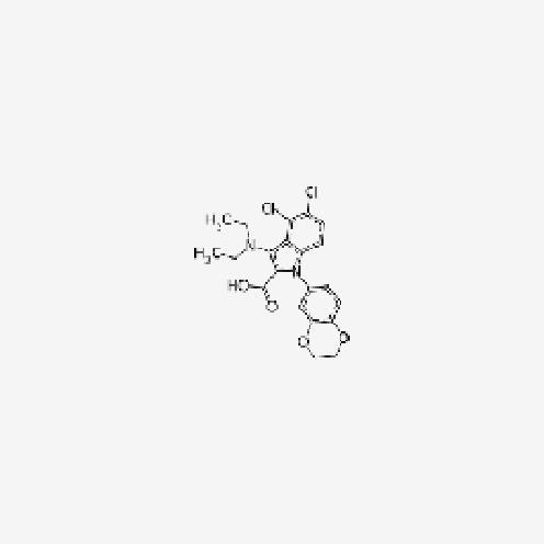 CCN(CC)c1c(C(=O)O)n(-c2ccc3c(c2)OCCO3)c2ccc(Cl)c(Cl)c12